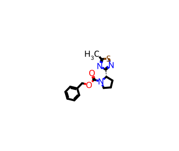 Cc1nc([C@@H]2CCCN2C(=O)OCc2ccccc2)ns1